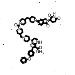 NC(=O)c1c(-c2ccc(Oc3ccccc3)cc2)nn2c1NCC[C@H]2C1CCN(CC2CCN(C(=O)N3CCC(CC4CCN(c5ccc6c(c5)CN(C5CCC(=O)NC5=O)C6=O)CC4)CC3)CC2)CC1